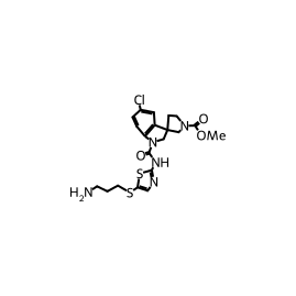 COC(=O)N1CCC2(C1)CN(C(=O)Nc1ncc(SCCCN)s1)c1ccc(Cl)cc12